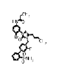 CCCCc1nn(-c2cc(NC(=O)CC)ccc2Br)c(=O)n1Cc1ccc(-c2ccccc2S(N)(=O)=O)cc1F